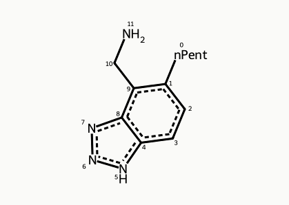 CCCCCc1ccc2[nH]nnc2c1CN